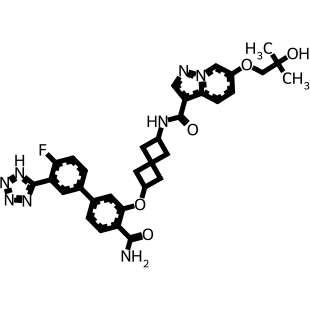 CC(C)(O)COc1ccc2c(C(=O)NC3CC4(C3)CC(Oc3cc(-c5ccc(F)c(-c6nnn[nH]6)c5)ccc3C(N)=O)C4)cnn2c1